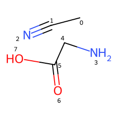 CC#N.NCC(=O)O